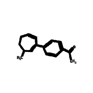 CC(=O)c1ccc(C2=CC(C)CCC=C2)cc1